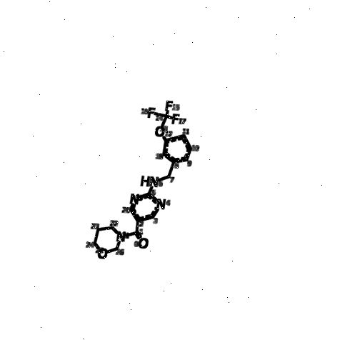 O=C(c1cnc(NCc2cccc(OC(F)(F)F)c2)nc1)N1CCCOC1